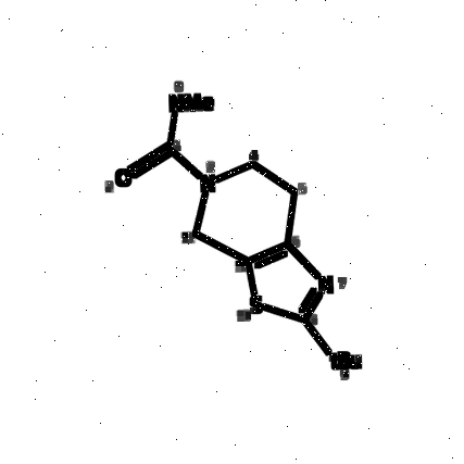 CNC(=O)N1CCc2nc(C(C)(C)C)sc2C1